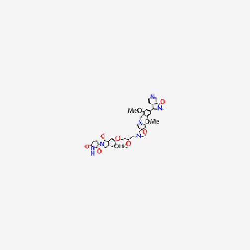 COc1cc(-c2cn(C)c(=O)c3cnccc23)cc(OC)c1CN1CCC2(CC1)CN(CCC(CCOc1ccc3c(c1)C(=O)N(C1CCC(=O)NC1=O)C3)OC=O)CCO2